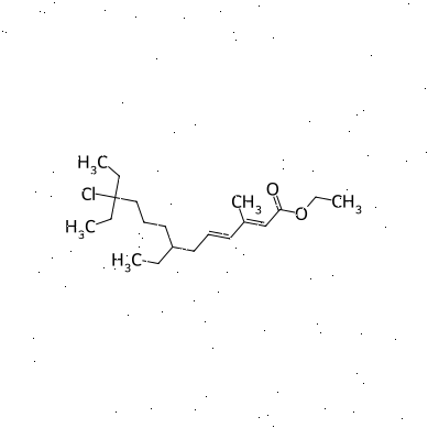 CCOC(=O)/C=C(C)/C=C/CC(CC)CCCC(Cl)(CC)CC